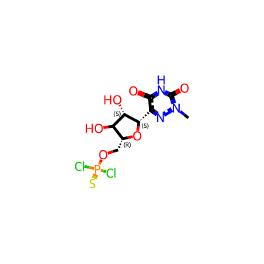 Cn1nc([C@@H]2O[C@H](COP(=S)(Cl)Cl)C(O)[C@@H]2O)c(=O)[nH]c1=O